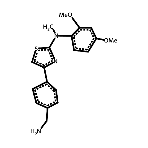 COc1ccc(N(C)c2nc(-c3ccc(CN)cc3)cs2)c(OC)c1